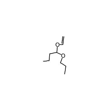 C=COC(CCC)OCCC